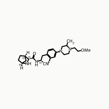 COCCN1CCN(c2ccc(C[C@@H](C#N)NC(=O)[C@H]3N[C@@H]4CC[C@H]3C4)c(F)c2)CC1C